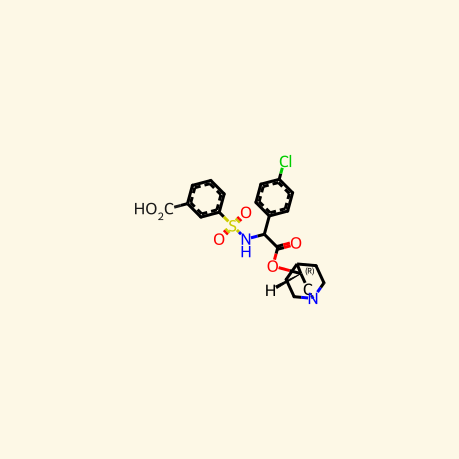 O=C(O)c1cccc(S(=O)(=O)NC(C(=O)O[C@H]2CN3CCC2CC3)c2ccc(Cl)cc2)c1